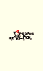 CCCCCC1(C)CC[C@H]2C(C)COC2C1